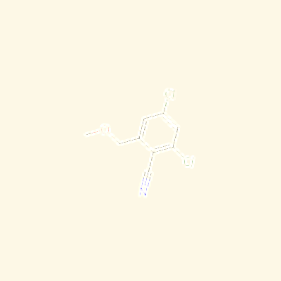 COCc1cc(Cl)cc(Cl)c1C#N